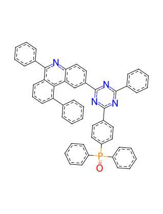 O=P(c1ccccc1)(c1ccccc1)c1ccc(-c2nc(-c3ccccc3)nc(-c3ccc4nc(-c5ccccc5)c5cccc(-c6ccccc6)c5c4c3)n2)cc1